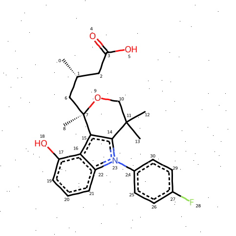 C[C@H](CC(=O)O)C[C@@]1(C)OCC(C)(C)c2c1c1c(O)cccc1n2-c1ccc(F)cc1